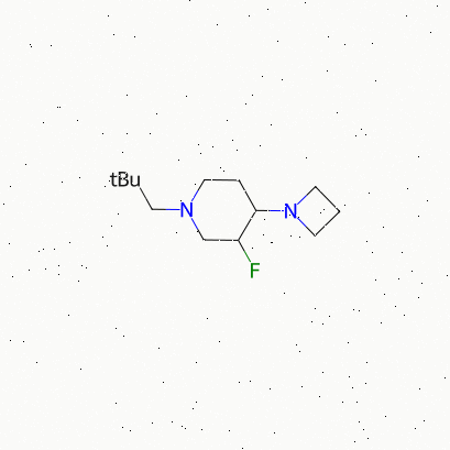 CC(C)(C)CN1CCC(N2CCC2)C(F)C1